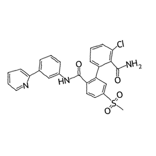 CS(=O)(=O)c1ccc(C(=O)Nc2cccc(-c3ccccn3)c2)c(-c2cccc(Cl)c2C(N)=O)c1